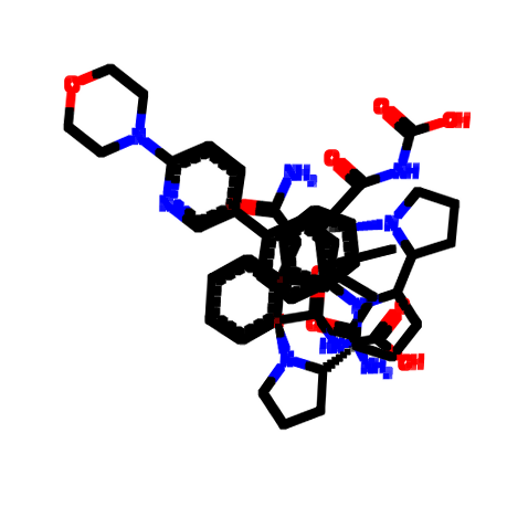 CC1(CC(N)=O)c2ccc(cc2)[C@]1(C(=O)NC(=O)O)N1CCCC1C1CC[C@H](C2CCCN2[C@@]2(C(=O)NC(=O)O)c3ccc(cc3)C2(C)CC(N)=O)N1c1ccc(-c2ccc(N3CCOCC3)nc2)cc1